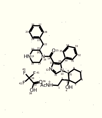 CC(=O)NCCC1(O)CCCC[C@@H]1n1cnc(C(=O)N2CCNC[C@H]2Cc2ccccc2)c1-c1ccccc1.O=C(O)C(F)(F)F